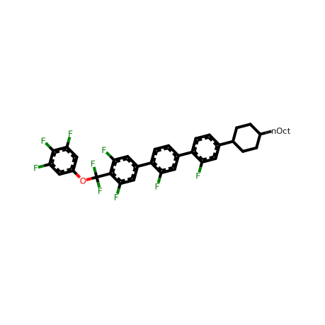 CCCCCCCCC1CCC(c2ccc(-c3ccc(-c4cc(F)c(C(F)(F)Oc5cc(F)c(F)c(F)c5)c(F)c4)c(F)c3)c(F)c2)CC1